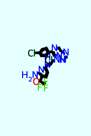 Nc1nc(NCCN[N+]23C=C(c4ccc(Cl)cc4Cl)N=CC2=NC=N3)ccc1C(=O)C(F)(F)F